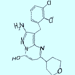 Nc1nn2c(O)cc(C3CCOCC3)nc2c1Cc1cccc(Cl)c1Cl